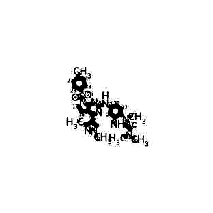 CC(=O)Nc1cc(Nc2nc(-c3cn(C)nc3C)c3ccn(S(=O)(=O)c4ccc(C)cc4)c3n2)ccc1N(C)CCN(C)C